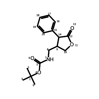 CC(C)(C)OC(=O)NCC1COC(=O)C1c1ccccc1